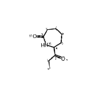 CCC(=O)C1CCCCC(=O)N1